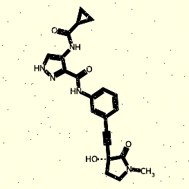 CN1CC[C@@](O)(C#Cc2cccc(NC(=O)c3n[nH]cc3NC(=O)C3CC3)c2)C1=O